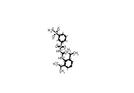 CC(C)c1cccc(C(C)C)c1NC(=O)NS(=O)(=O)c1cccc(S(N)(=O)=O)c1